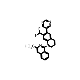 O=C(O)c1cc2ccccc2c(N2CCCc3cc(-c4cncnc4)c(C(F)F)cc32)n1